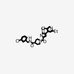 CCc1cc(-c2cc(C(=O)N3CCC(C(=O)NCc4cccc(Cl)c4)CC3)n[nH]2)c(Cl)cn1